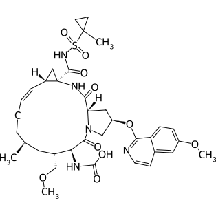 COC[C@@H]1C[C@@H](C)CCC=C[C@@H]2C[C@@]2(C(=O)NS(=O)(=O)C2(C)CC2)NC(=O)[C@@H]2C[C@@H](Oc3nccc4cc(OC)ccc34)CN2C(=O)[C@H]1NC(=O)O